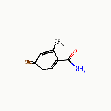 NC(=O)C1=CCC(=S)C=C1C(F)(F)F